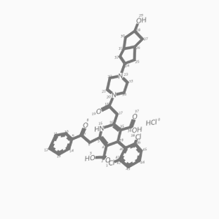 Cl.O=C(O)C1=C(CC(=O)c2ccccc2)NC(CC(=O)N2CCN(C3CC4CC(O)CC4C3)CC2)=C(C(=O)O)C1c1c(Cl)cccc1Cl